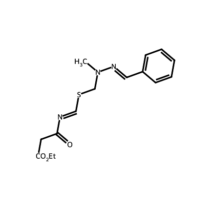 CCOC(=O)CC(=O)N=CSCN(C)N=Cc1ccccc1